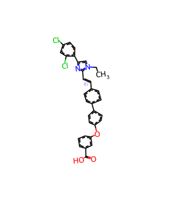 CCn1cc(-c2ccc(Cl)cc2Cl)nc1/C=C/c1ccc(-c2ccc(Oc3cccc(C(=O)O)c3)cc2)cc1